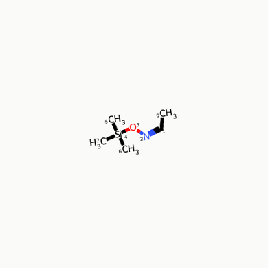 C/C=N\O[Si](C)(C)C